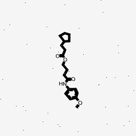 COc1ccc(NC(=O)CCCOC(=O)CCC2CCCC2)cc1